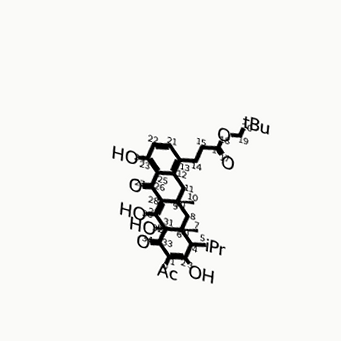 CC(=O)C1=C(O)C(C(C)C)[C@@]2(C)C[C@@]3(C)Cc4c(CCC(=O)OCC(C)(C)C)ccc(O)c4C(=O)C3=C(O)[C@@]2(O)C1=O